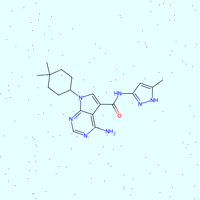 Cc1cc(NC(=O)c2cn(C3CCC(C)(C)CC3)c3ncnc(N)c23)n[nH]1